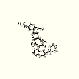 COc1ccc(C#N)c(-c2cc3[nH]c(=O)n(-c4cncc5ccc(N6CCOCC6)cc45)c(=O)c3s2)c1